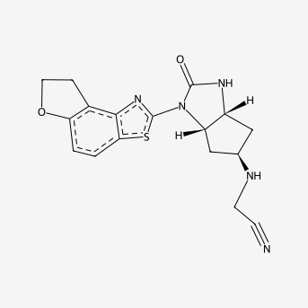 N#CCN[C@@H]1C[C@H]2NC(=O)N(c3nc4c5c(ccc4s3)OCC5)[C@H]2C1